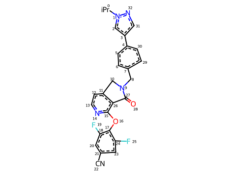 CC(C)n1cc(-c2ccc(CN3Cc4ccnc(Oc5c(F)cc(C#N)cc5F)c4C3=O)cc2)cn1